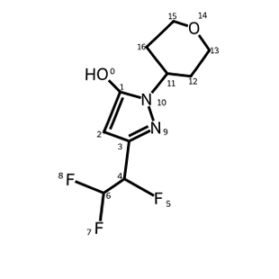 Oc1cc(C(F)C(F)F)nn1C1CCOCC1